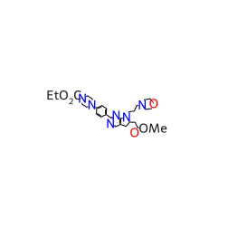 CCOC(=O)N1CCN(c2ccc(-c3ncc4c(n3)N(CCCN3CCOCC3)C(CC(=O)OC)C4)cc2)CC1